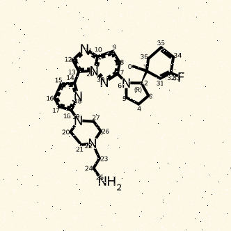 CC1([C@H]2CCCN2c2ccc3ncc(-c4cccc(N5CCN(CCN)CC5)n4)n3n2)C=C(F)C=CC1